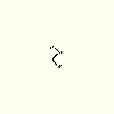 CCCCNC(C)C